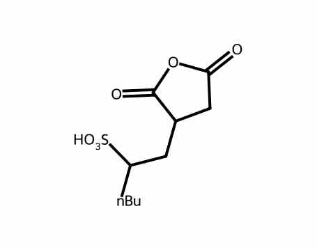 CCCCC(CC1CC(=O)OC1=O)S(=O)(=O)O